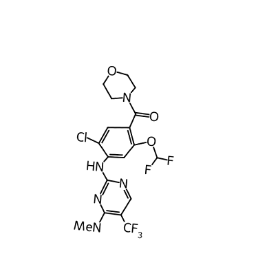 CNc1nc(Nc2cc(OC(F)F)c(C(=O)N3CCOCC3)cc2Cl)ncc1C(F)(F)F